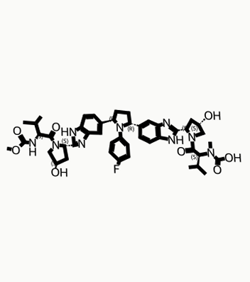 COC(=O)N[C@H](C(=O)N1C[C@@H](O)C[C@H]1c1nc2cc([C@H]3CC[C@H](c4ccc5[nH]c([C@@H]6C[C@H](O)CN6C(=O)[C@H](C(C)C)N(C)C(=O)O)nc5c4)N3c3ccc(F)cc3)ccc2[nH]1)C(C)C